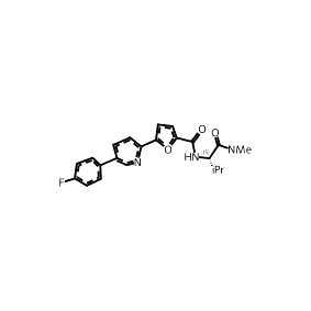 CNC(=O)[C@@H](NC(=O)c1ccc(-c2ccc(-c3ccc(F)cc3)cn2)o1)C(C)C